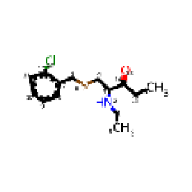 CCNC(CSCc1ccccc1Cl)C(=O)CC